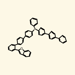 c1ccc(-c2ccc(-c3ccc(N(c4ccccc4)c4ccc(-c5ccc(-c6ccccc6-c6cc7ccccc7o6)cc5)cc4)cc3)cc2)cc1